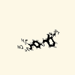 CC(C)Cn1ncc2c(COc3ccc(C(C)CC(=O)O)cc3)cccc21